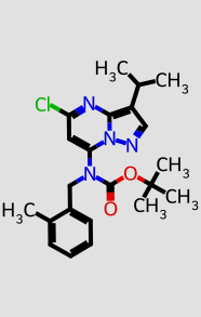 Cc1ccccc1CN(C(=O)OC(C)(C)C)c1cc(Cl)nc2c(C(C)C)cnn12